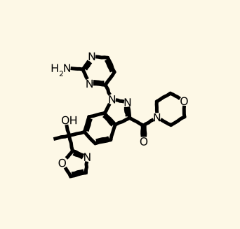 CC(O)(c1ccc2c(C(=O)N3CCOCC3)nn(-c3ccnc(N)n3)c2c1)c1ncco1